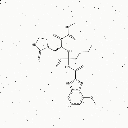 CCCC[C@@](C=O)(NC(=O)c1nc2c(OC)cccc2[nH]1)N[C@@H](CN1CCNC1=O)C(=O)C(=O)NC